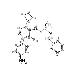 CC(CNc1cnccn1)COc1c(C2CCC2)ccc(-c2cnc(N)cn2)c1F